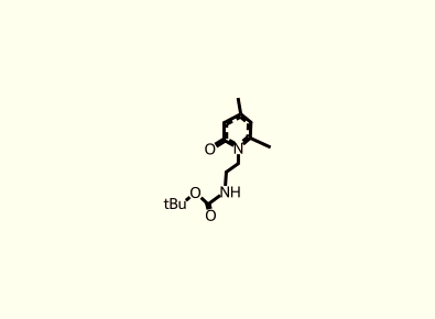 Cc1cc(C)n(CCNC(=O)OC(C)(C)C)c(=O)c1